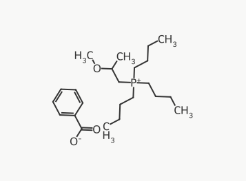 CCCC[P+](CCCC)(CCCC)CC(C)OC.O=C([O-])c1ccccc1